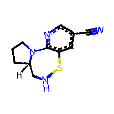 N#Cc1cnc2c(c1)SNC[C@@H]1CCCN21